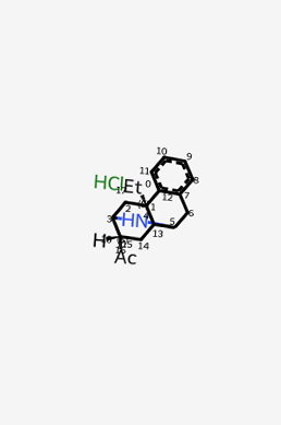 CC[C@@]12CC3NC(Cc4ccccc41)C2C[C@@H]3C(C)=O.Cl